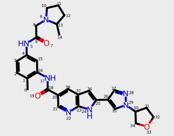 Cc1ccc(NC(=O)CN2CCCC2C)cc1NC(=O)c1cnc2[nH]c(-c3cnn(C4CCOC4)c3)cc2c1